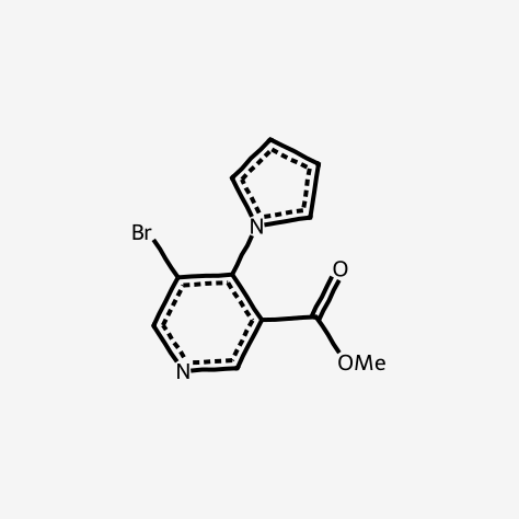 COC(=O)c1cncc(Br)c1-n1cccc1